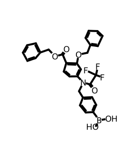 O=C(OCc1ccccc1)c1ccc(N(Cc2ccc(B(O)O)cc2)C(=O)C(F)(F)F)cc1OCc1ccccc1